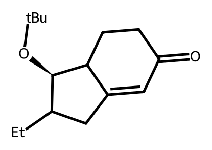 CCC1CC2=CC(=O)CCC2[C@@H]1OC(C)(C)C